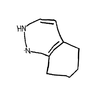 C1=CC2=C(CCCC2)[N]N1